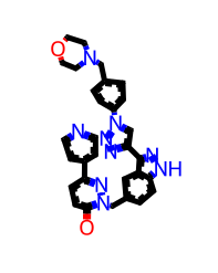 O=c1ccc(-c2ccncc2)nn1Cc1ccc2[nH]nc(-c3cn(-c4ccc(CN5CCOCC5)cc4)nn3)c2c1